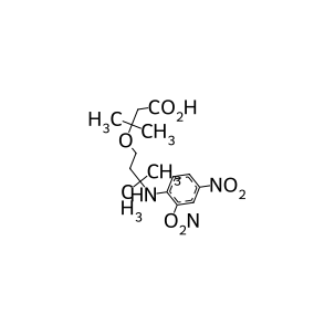 CC(C)(CCOC(C)(C)CC(=O)O)Nc1ccc([N+](=O)[O-])cc1[N+](=O)[O-]